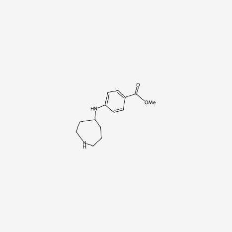 COC(=O)c1ccc(NC2CCCNCC2)cc1